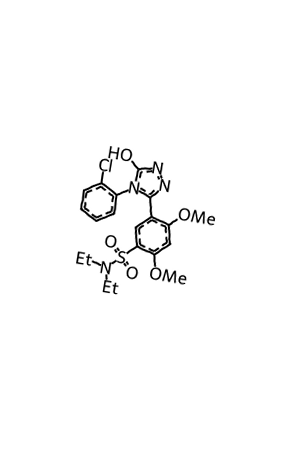 CCN(CC)S(=O)(=O)c1cc(-c2nnc(O)n2-c2ccccc2Cl)c(OC)cc1OC